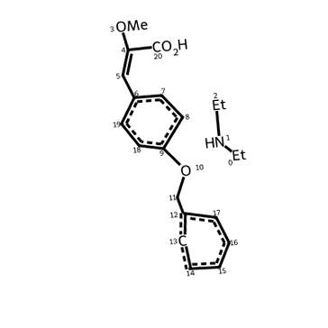 CCNCC.COC(=Cc1ccc(OCc2ccccc2)cc1)C(=O)O